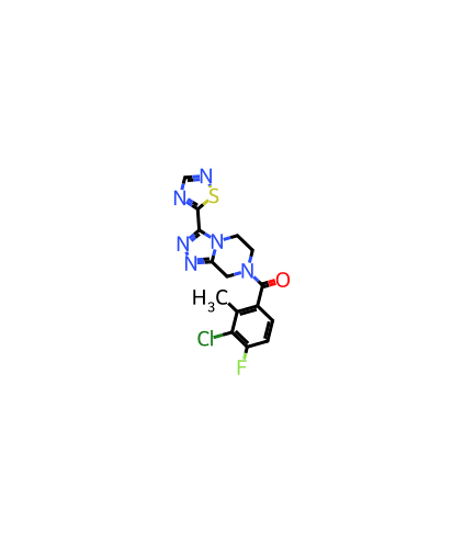 Cc1c(C(=O)N2CCn3c(nnc3-c3ncns3)C2)ccc(F)c1Cl